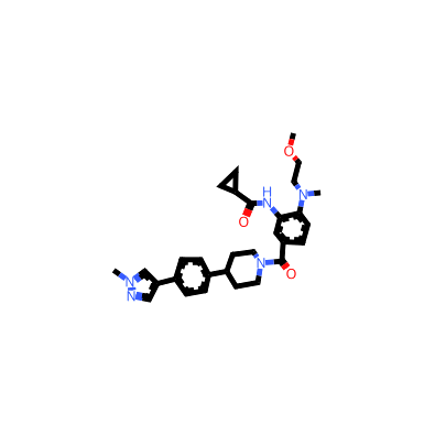 COCCN(C)c1ccc(C(=O)N2CCC(c3ccc(-c4cnn(C)c4)cc3)CC2)cc1NC(=O)C1CC1